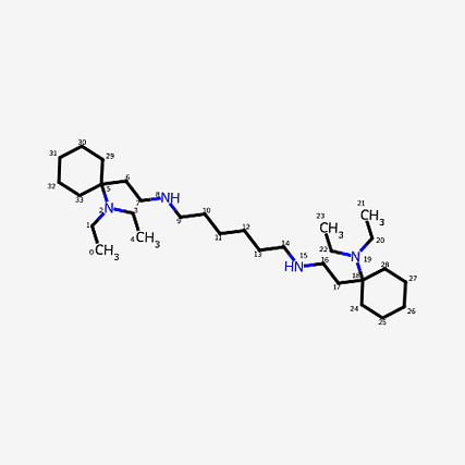 CCN(CC)C1(CCNCCCCCCNCCC2(N(CC)CC)CCCCC2)CCCCC1